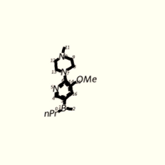 CCCB(C)c1cnc(N2CCN(C)CC2)c(OC)c1